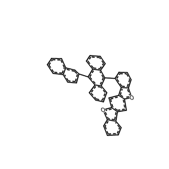 c1ccc2cc(-c3c4ccccc4c(-c4cccc5oc6cc7c(cc6c45)oc4ccccc47)c4ccccc34)ccc2c1